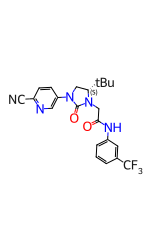 CC(C)(C)[C@H]1CN(c2ccc(C#N)nc2)C(=O)N1CC(=O)Nc1cccc(C(F)(F)F)c1